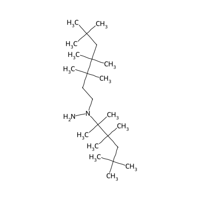 CC(C)(C)CC(C)(C)C(C)(C)CCN(N)C(C)(C)C(C)(C)CC(C)(C)C